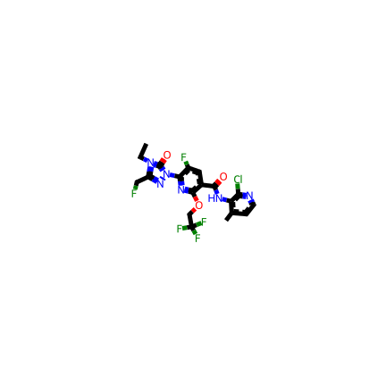 CCn1c(CF)nn(-c2nc(OCC(F)(F)F)c(C(=O)Nc3c(C)ccnc3Cl)cc2F)c1=O